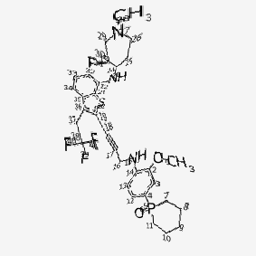 COc1cc(P2(=O)CCCCC2)ccc1NCC#Cc1sc2c(NC3CCN(C)C[C@@H]3F)cccc2c1CC(F)(F)F